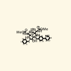 COC(=O)N[C@H](C(=O)N[C@H](Cc1ccccc1)[C@@H](O)CN(Cc1ccc(-c2ccccn2)cc1)NC(=O)[C@@H](NC(=O)OC)C(C)(C)C)C(C)(C)C